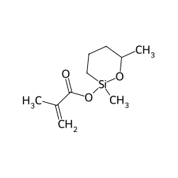 C=C(C)C(=O)O[Si]1(C)CCCC(C)O1